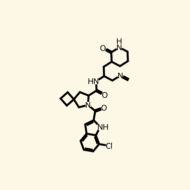 C=NCC(CC1CCCNC1=O)NC(=O)C1CC2(CCC2)CN1C(=O)c1cc2cccc(Cl)c2[nH]1